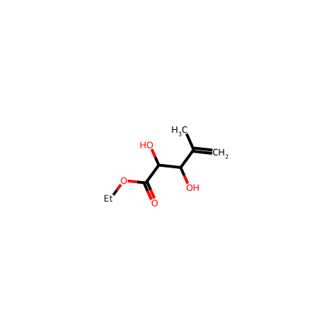 C=C(C)C(O)C(O)C(=O)OCC